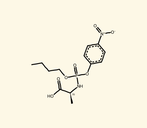 CCCCOP(=O)(N[C@@H](C)C(=O)O)Oc1ccc([N+](=O)[O-])cc1